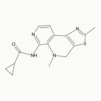 Cc1nc2c(s1)CN(C)c1c-2ccnc1NC(=O)C1CC1